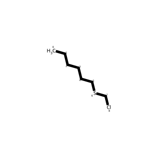 CCCCCCSCCl